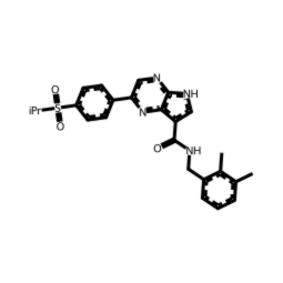 Cc1cccc(CNC(=O)c2c[nH]c3ncc(-c4ccc(S(=O)(=O)C(C)C)cc4)nc23)c1C